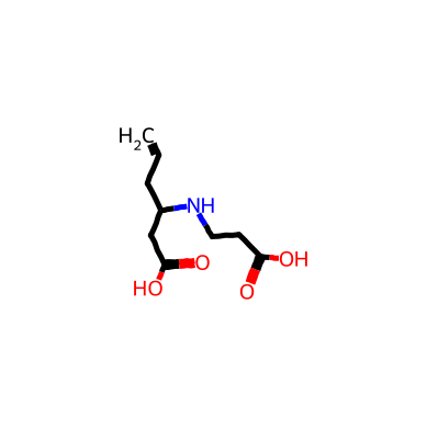 C=CCC(CC(=O)O)NCCC(=O)O